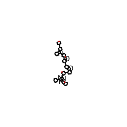 c1ccc(-c2ccc3c(c2)c2ccccc2n3-c2ccc3oc4cc(-c5ccc6c(c5)oc5cccc(-c7cccc(-c8nc(-c9ccccc9)nc(-c9ccccc9)n8)c7)c56)ccc4c3c2)cc1